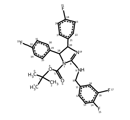 CC(C)(C)OC(=O)N1C(NCc2ccc(F)c(F)c2)=NC(c2ccc(F)cc2)C1c1ccc(F)cc1